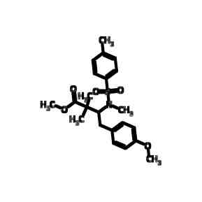 COC(=O)C(C)(C)C(Cc1ccc(OC)cc1)N(C)S(=O)(=O)c1ccc(C)cc1